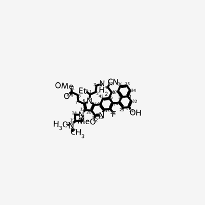 CCC(CCN)n1c(CCC(=O)OC)c(N2CC(N(C)C)C2)c2c(OC)nc3c(F)c(-c4cc(O)cc5ccccc45)c(CCC#N)cc3c21